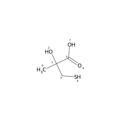 CC(O)(CS)C(=O)O